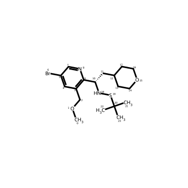 COCc1cc(Br)cnc1[C@H](CC1CCOCC1)NSC(C)(C)C